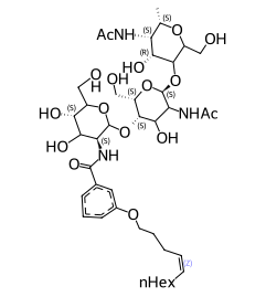 CCCCCC/C=C\CCCOc1cccc(C(=O)N[C@@H]2C(O[C@H]3C(O)C(NC(C)=O)[C@H](OC4C(CO)O[C@@H](C)[C@@H](NC(C)=O)[C@H]4O)O[C@H]3CO)OC(CO)[C@@H](O)C2O)c1